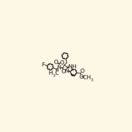 COC(=O)c1c#cc2nc(C3(Cc4ccccc4)OC(=O)N([C@H](C)c4ccc(F)cc4)C3=O)[nH]c2c1